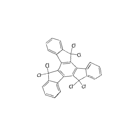 ClC1(Cl)c2ccccc2-c2c1c1c(c3c2C(Cl)(Cl)c2ccccc2-3)C(Cl)(Cl)c2ccccc2-1